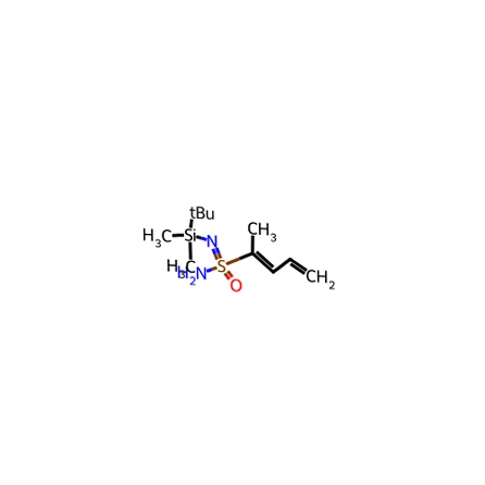 C=C/C=C(\C)S(N)(=O)=N[Si](C)(C)C(C)(C)C